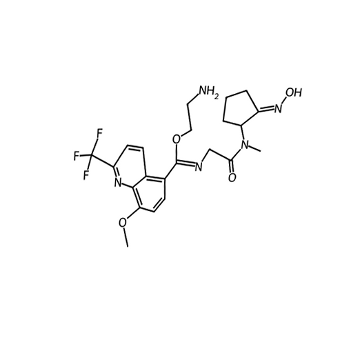 COc1ccc(/C(=N/CC(=O)N(C)C2CCC/C2=N\O)OCCN)c2ccc(C(F)(F)F)nc12